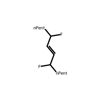 CCCCCC(F)C=CC(F)CCCCC